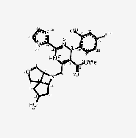 COC(=O)C1=C(CN2C3COCC34CC(O)CC24)NC(c2nccs2)=N[C@H]1c1ccc(F)cc1Cl